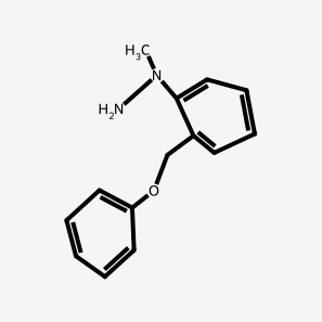 CN(N)c1ccccc1COc1ccccc1